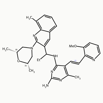 CCC(Nc1nc(N)nc(C)c1/C=C/c1ncccc1OC)c1cc2cccc(C)c2nc1N1C[C@@H](C)O[C@@H](C)C1